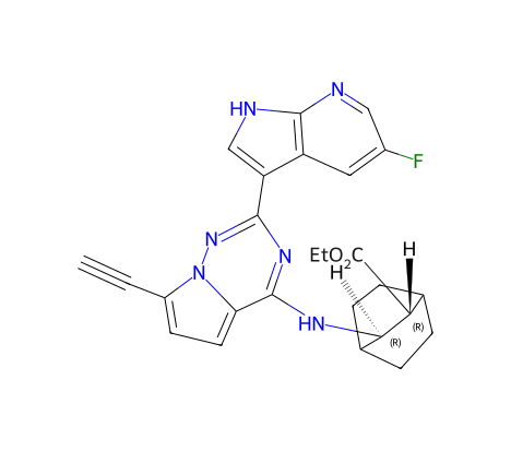 C#Cc1ccc2c(N[C@@H]3C4CCC(CC4)[C@H]3C(=O)OCC)nc(-c3c[nH]c4ncc(F)cc34)nn12